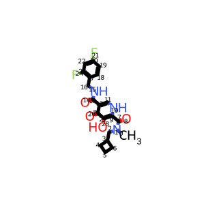 CN(CC1CCC1)C(=O)c1[nH]cc(C(=O)NCc2ccc(F)cc2F)c(=O)c1O